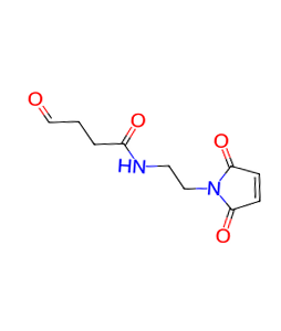 O=CCCC(=O)NCCN1C(=O)C=CC1=O